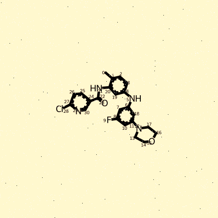 Cc1ccc(Nc2cc(F)cc(N3CCOCC3)c2)cc1NC(=O)c1ccc(Cl)nc1